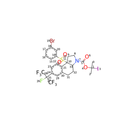 CC(C)(I)OC(=O)N1CCC2(S(=O)(=O)c3cccc(Br)c3)c3ccc(C(F)(C(F)(F)F)C(F)(F)F)cc3CCC12